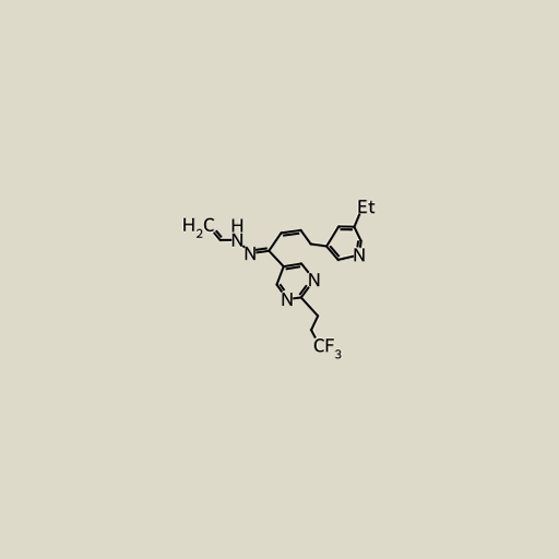 C=CN/N=C(\C=C/Cc1cncc(CC)c1)c1cnc(CCC(F)(F)F)nc1